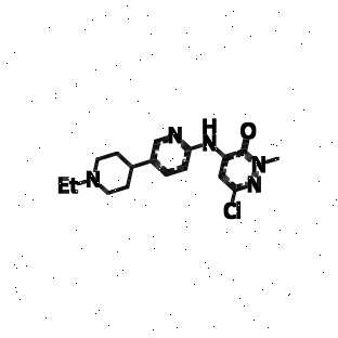 CCN1CCC(c2ccc(Nc3cc(Cl)nn(C)c3=O)nc2)CC1